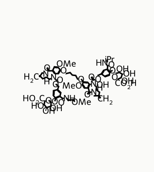 C=C1C[C@H]2CN(C(=O)OCc3ccc(O[C@@H]4O[C@H](C(=O)O)[C@@H](O)[C@H](O)[C@H]4O)c(C(=O)NCCOC)c3)c3cc(OCCCCCOc4cc5c(cc4OC)C(=O)N4CC(=C)C[C@H]4C(O)N5C(=O)OCc4ccc(O[C@@H]5O[C@H](C(=O)O)[C@@H](O)[C@H](O)[C@H]5O)c(C(=O)NC(C)C)c4)c(OC)cc3C(=O)N2C1